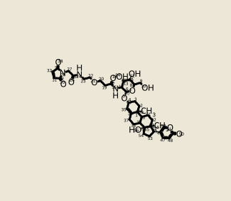 C[C@]12CC[C@H](O[C@@H]3OC(CO)[C@@H](O)[C@H](O)C3NC(=O)CCOCCNC(=O)CN3C(=O)C=CC3=O)C=C1CCC1C2CC[C@]2(C)[C@@H](c3ccc(=O)oc3)CC[C@]12O